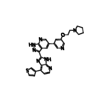 c1cc(-c2ccsc2)c2nc(-c3n[nH]c4ncc(-c5cncc(OCCN6CCCC6)c5)cc34)[nH]c2n1